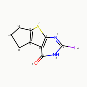 O=c1[nH]c(I)nc2sc3c(c12)CCC3